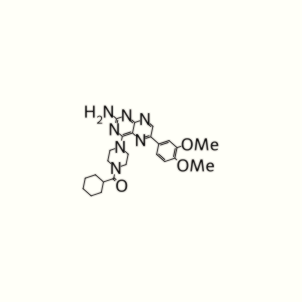 COc1ccc(-c2cnc3nc(N)nc(N4CCN(C(=O)C5CCCCC5)CC4)c3n2)cc1OC